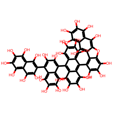 Oc1c(O)c(-c2c3c(O)c(O)c(O)c(O)c3c(-c3c(O)c(O)c(-c4c(O)c(O)c5c(O)c(O)c(O)c(O)c5c4O)c4c(O)c(O)c(O)c(O)c34)c3c(O)c(O)c(O)c(O)c23)c2c(oc3c(O)c4c(O)c(O)c(O)c(O)c4c(O)c32)c1O